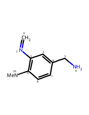 C=Nc1cc(CN)ccc1NC